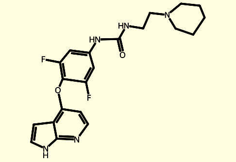 O=C(NCCN1CCCCC1)Nc1cc(F)c(Oc2ccnc3[nH]ccc23)c(F)c1